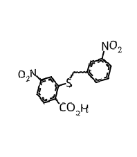 O=C(O)c1ccc([N+](=O)[O-])cc1SCc1cccc([N+](=O)[O-])c1